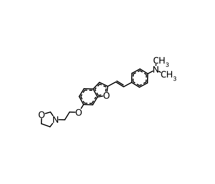 CN(C)c1ccc(C=Cc2cc3ccc(OCCN4CCOC4)cc3o2)cc1